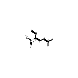 C=C/C(=C\C=C(C)C)[N+](=O)[O-]